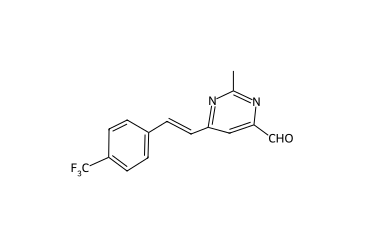 Cc1nc(C=O)cc(/C=C/c2ccc(C(F)(F)F)cc2)n1